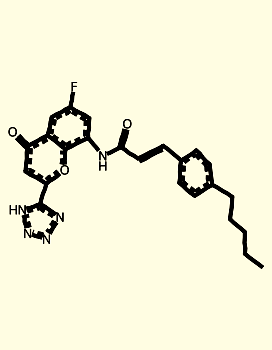 CCCCCc1ccc(C=CC(=O)Nc2cc(F)cc3c(=O)cc(-c4nnn[nH]4)oc23)cc1